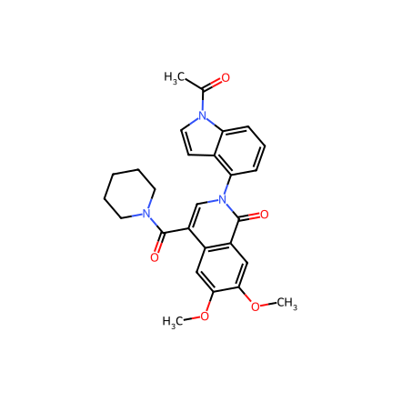 COc1cc2c(C(=O)N3CCCCC3)cn(-c3cccc4c3ccn4C(C)=O)c(=O)c2cc1OC